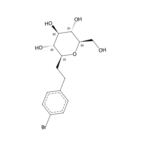 OC[C@H]1O[C@@H](CCc2ccc(Br)cc2)[C@H](O)[C@@H](O)[C@@H]1O